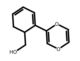 OCC1CC=CC=C1C1=COC=[C]O1